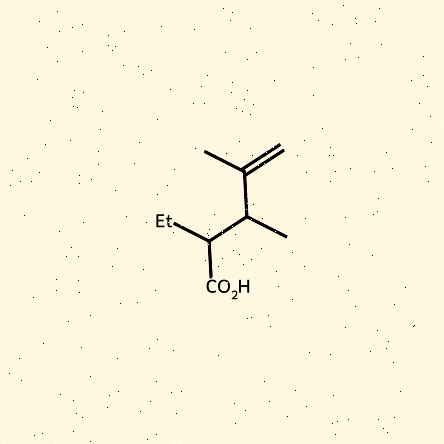 C=C(C)C(C)C(CC)C(=O)O